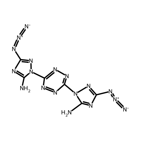 [N-]=[N+]=Nc1nc(N)n(-c2nnc(-n3nc(N=[N+]=[N-])nc3N)nn2)n1